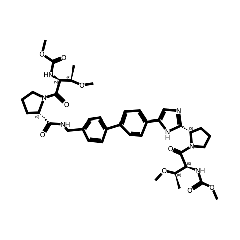 COC(=O)N[C@H](C(=O)N1CCC[C@H]1C(=O)NCc1ccc(-c2ccc(-c3cnc([C@@H]4CCCN4C(=O)[C@@H](NC(=O)OC)[C@@H](C)OC)[nH]3)cc2)cc1)[C@@H](C)OC